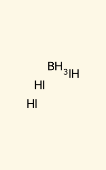 B.I.I.I